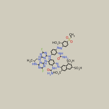 C=CS(=O)(=O)c1ccc(/N=N/c2ccc(Nc3nc(F)nc(NCC(C)Nc4nc(F)nc(Nc5ccc(/N=N/c6cc7c(S(=O)(=O)O)cc(S(=O)(=O)O)cc7cc6S(=O)(=O)O)c(NC(N)=O)c5)n4)n3)cc2NC(N)=O)c(S(=O)(=O)O)c1